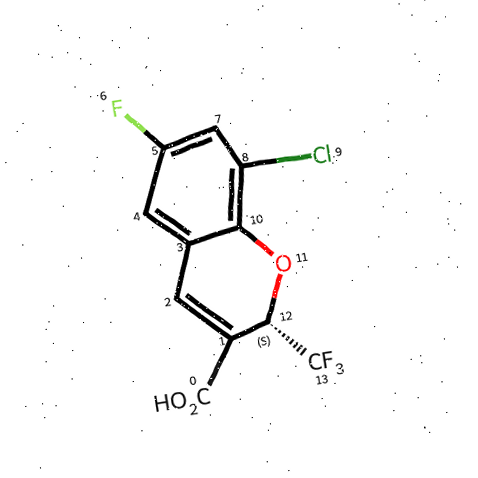 O=C(O)C1=Cc2cc(F)cc(Cl)c2O[C@@H]1C(F)(F)F